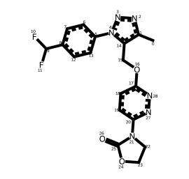 Cc1nnn(-c2ccc(C(F)F)cc2)c1COc1ccc(N2CCOC2=O)nn1